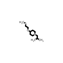 CSCCOC1CCN(CC(C)C)CC1